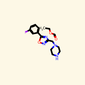 CCOC=O.Ic1cccc(-c2nc(CN3CCNCC3)no2)c1